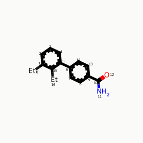 CCc1cccc(-c2ccc(C(N)=O)cc2)c1CC